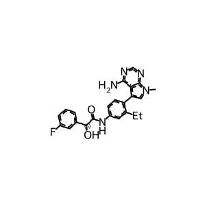 CCc1cc(NC(=O)[C@@H](O)c2cccc(F)c2)ccc1-c1cn(C)c2ncnc(N)c12